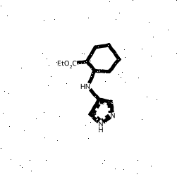 CCOC(=O)C1CCCCC1Nc1cn[nH]c1